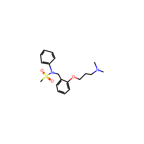 CN(C)CCCOc1ccccc1CN(c1ccccc1)S(C)(=O)=O